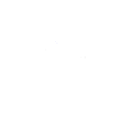 Cc1ccc(-c2ccccc2)cc1-c1cccc[n+]1C